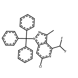 Cc1nn(C(c2ccccc2)(c2ccccc2)c2ccccc2)c2cc(Cl)nc(C(F)F)c12